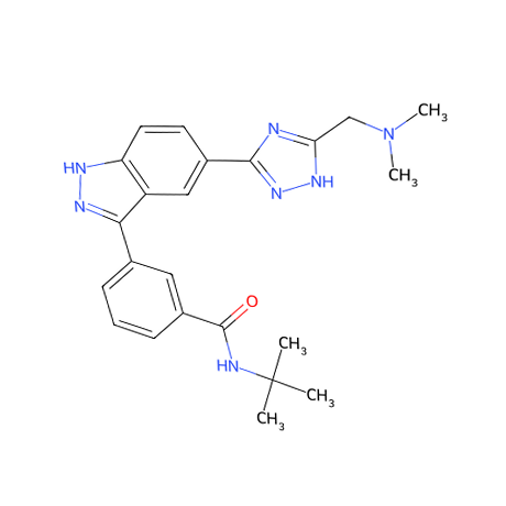 CN(C)Cc1nc(-c2ccc3[nH]nc(-c4cccc(C(=O)NC(C)(C)C)c4)c3c2)n[nH]1